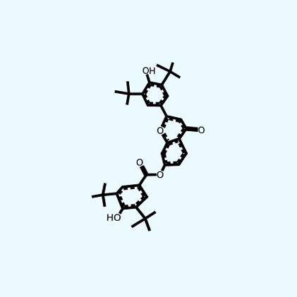 CC(C)(C)c1cc(C(=O)Oc2ccc3c(=O)cc(-c4cc(C(C)(C)C)c(O)c(C(C)(C)C)c4)oc3c2)cc(C(C)(C)C)c1O